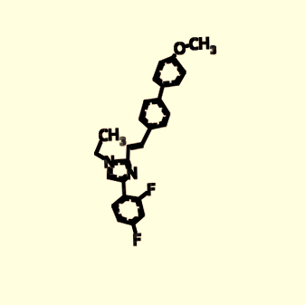 CCn1cc(-c2ccc(F)cc2F)nc1C=Cc1ccc(-c2ccc(OC)cc2)cc1